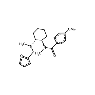 COc1ccc(C(=O)N(C)[C@@H]2CCCC[C@H]2N(C)Cc2ccco2)cc1